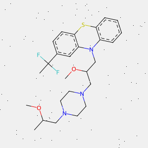 COC(C)CN1CCN(CC(CN2c3ccccc3Sc3ccc(C(C)(F)F)cc32)OC)CC1